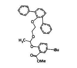 CCC(C)c1ccc(OC(C)OCCOc2c(-c3ccccc3)cccc2-c2ccccc2)c(C(=O)OC)c1